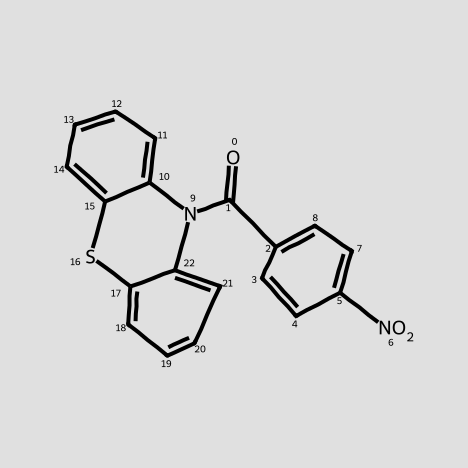 O=C(c1ccc([N+](=O)[O-])cc1)N1c2ccccc2Sc2ccccc21